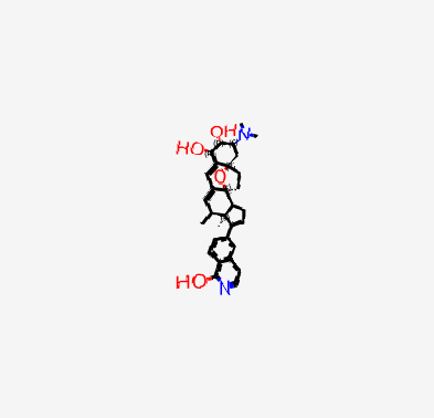 CC1C=C2C=C3[C@@H](O)[C@H](O)[C@@H](N(C)C)C[C@]34CC[C@]2(O4)C2CC=C(c3ccc4c(O)nccc4c3)[C@@]12C